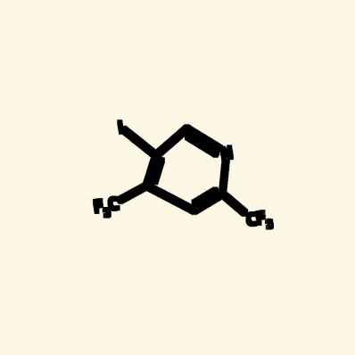 FC(F)(F)c1cc(C(F)(F)F)c(I)cn1